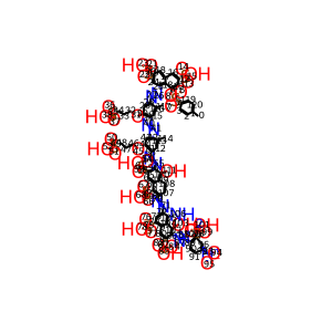 Cc1ccc(S(=O)(=O)Oc2cc(S(=O)(=O)O)cc3cc(S(=O)(=O)O)cc(N=Nc4cc(OCCCS(=O)(=O)O)c(N=Nc5cc(OCCCS(=O)(=O)O)c(N=Nc6c(S(=O)(=O)O)cc7c(S(=O)(=O)O)c(N=Nc8cc(S(=O)(=O)O)c9cc(S(=O)(=O)O)c(N=Nc%10ccc([N+](=O)[O-])cc%10S(=O)(=O)O)c(O)c9c8N)ccc7c6O)cc5C)cc4C)c23)cc1